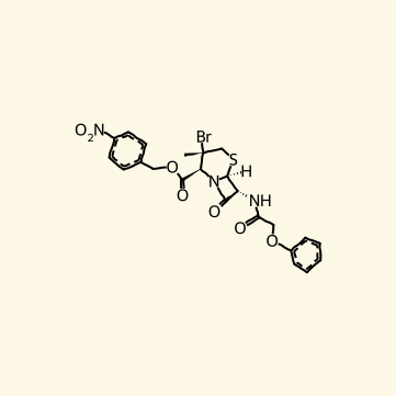 C[C@@]1(Br)CS[C@H]2[C@H](NC(=O)COc3ccccc3)C(=O)N2[C@H]1C(=O)OCc1ccc([N+](=O)[O-])cc1